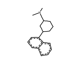 CN(C)C1CCCC(c2cccc3ccccc23)C1